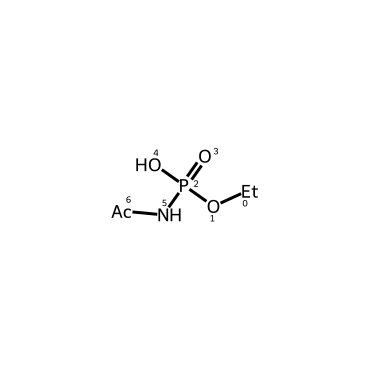 CCOP(=O)(O)NC(C)=O